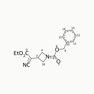 CCOC(=O)C(C#N)C1CN(C(=O)OCc2ccccc2)C1